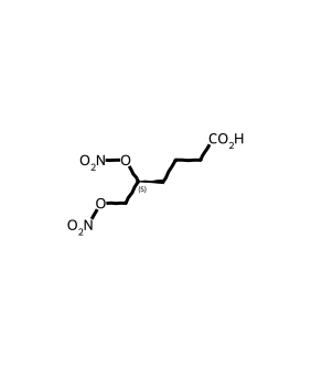 O=C(O)CCC[C@@H](CO[N+](=O)[O-])O[N+](=O)[O-]